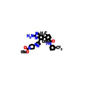 COc1c(-c2cc(C(=O)Nc3cccc(C(F)(F)F)c3)ccc2C)cc2cnc(N)nc2c1-c1cnn(C2CCN(C(=O)OC(C)(C)C)CC2)c1